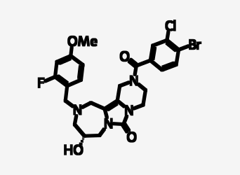 COc1ccc(CN2Cc3c4n(c(=O)n3C[C@H](O)C2)CCN(C(=O)c2ccc(Br)c(Cl)c2)C4)c(F)c1